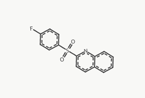 O=S(=O)(c1ccc(F)cc1)c1ccc2ccccc2n1